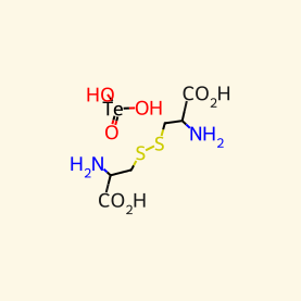 NC(CSSCC(N)C(=O)O)C(=O)O.O=[Te](O)O